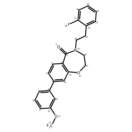 O=C1c2ccc(-c3cccc(OC(F)(F)F)c3)cc2OCCN1CCc1ccccc1F